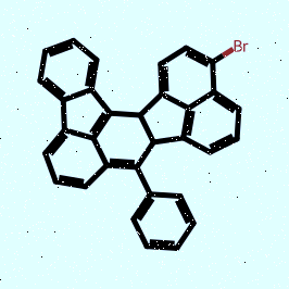 Brc1ccc2c3c(cccc13)C1C(c3ccccc3)=c3cccc4c3=C(c3ccccc3-4)C21